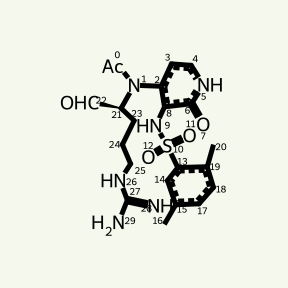 CC(=O)N(c1cc[nH]c(=O)c1NS(=O)(=O)c1cc(C)ccc1C)[C@H](C=O)CCCNC(=N)N